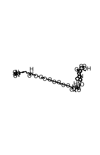 CC[C@@]1(O)C(=O)OCc2c1cc1n(c2=O)Cc2c-1nc1ccc(NC(=O)[C@H](C)NC(=O)[C@@H](NC(=O)CCOCCOCCOCCOCCOCCOCCOCCOCCNC(=O)CCCC#Cc3cnc(S(C)(=O)=O)nc3)C(C)C)c3c1c2CCC3